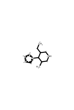 CCC1CNCC(C)C1n1cnnn1